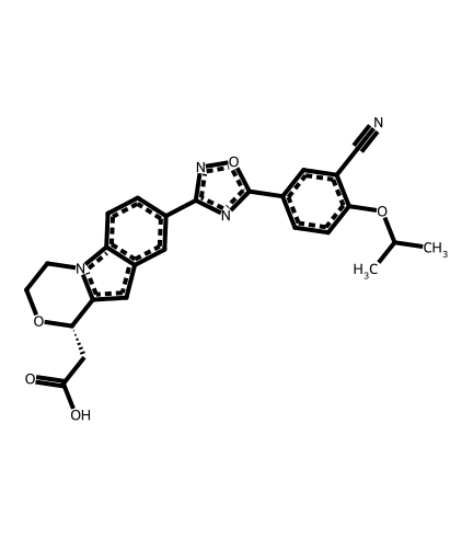 CC(C)Oc1ccc(-c2nc(-c3ccc4c(c3)cc3n4CCO[C@H]3CC(=O)O)no2)cc1C#N